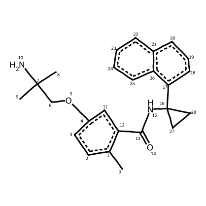 Cc1ccc(OCC(C)(C)N)cc1C(=O)NC1(c2cccc3ccccc23)CC1